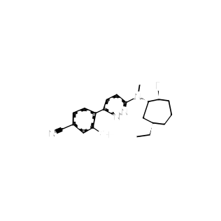 CC[C@@H]1CCC[C@H](F)[C@H](N(C)c2ccc(-c3ccc(C#N)cc3O)nn2)C1